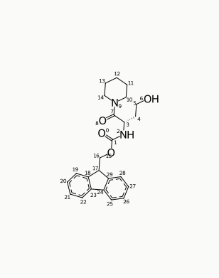 O=C(N[C@@H](CCO)C(=O)N1CCCCC1)OCC1c2ccccc2-c2ccccc21